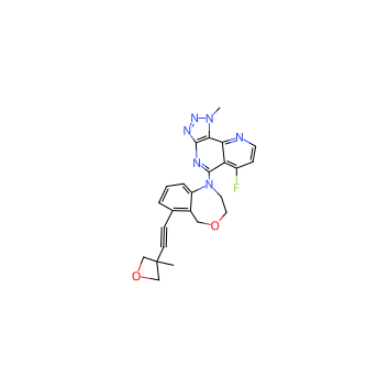 Cn1nnc2nc(N3CCOCc4c(C#CC5(C)COC5)cccc43)c3c(F)ccnc3c21